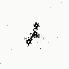 Cc1ccc2[nH]c(C(=O)N[C@@H]3CC(OCc4ccccc4)C[C@H]3N)cc2c1